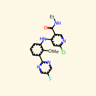 CCNC(=O)c1cnc(Cl)cc1Nc1cccc(-c2ncc(F)cn2)c1OC